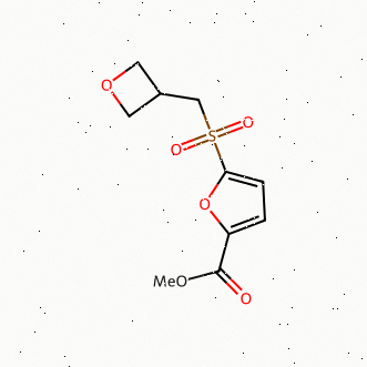 COC(=O)c1ccc(S(=O)(=O)CC2COC2)o1